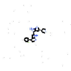 Fc1ccccc1-c1ccnc2[nH]c(-c3n[nH]c4ncc(-c5ccncc5)cc34)cc12